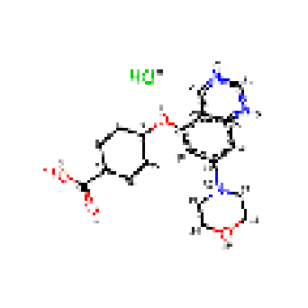 Cl.O=C(O)C1CCC(Oc2cc(N3CCOCC3)cc3ncncc23)CC1